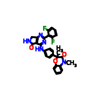 CN1C(=O)C(C)(c2ccc(Nc3nc(-c4c(F)cccc4F)nc4c3C(=O)NC4)cc2)Oc2ccccc21